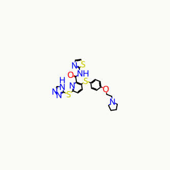 O=C(Nc1nccs1)c1nc(Sc2nnc[nH]2)ccc1Sc1ccc(OCCN2CCCC2)cc1